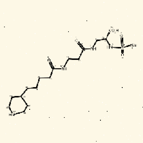 CCCCS(=O)(=O)N[C@@H](CNC(=O)CCNC(=O)CCCCC1CCNCC1)C(=O)O